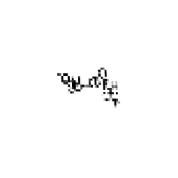 Cc1ccc(S(=O)(=O)OCCC2CCN(C(=O)[C@H](C)NCC(=O)OC(C)(C)C)CC2)cc1